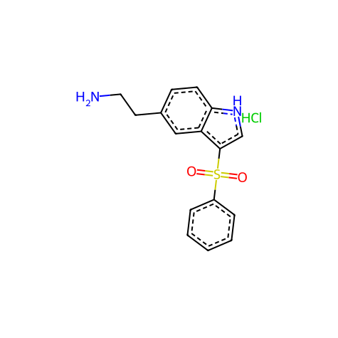 Cl.NCCc1ccc2[nH]cc(S(=O)(=O)c3ccccc3)c2c1